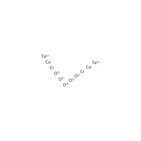 [Co].[Co].[Cr].[Cr].[O-2].[O-2].[O-2].[O-2].[O-2].[Ta+5].[Ta+5]